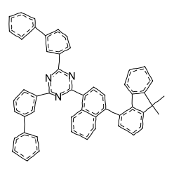 CC1(C)c2ccccc2-c2c(-c3ccc(-c4nc(-c5cccc(-c6ccccc6)c5)nc(-c5cccc(-c6ccccc6)c5)n4)c4ccccc34)cccc21